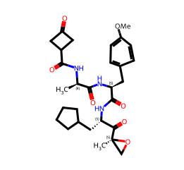 COc1ccc(C[C@H](NC(=O)[C@@H](C)NC(=O)C2CC(=O)C2)C(=O)N[C@@H](CC2CCCC2)C(=O)[C@]2(C)CO2)cc1